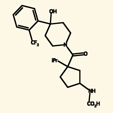 CC(C)C1(C(=O)N2CCC(O)(c3ccccc3C(F)(F)F)CC2)CCC(NC(=O)O)C1